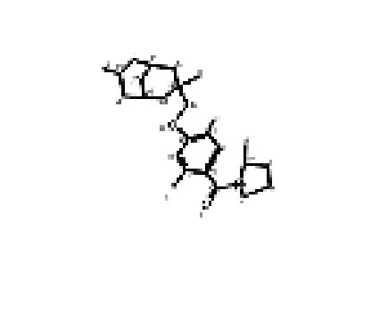 Cc1cc(C(=O)N2CCCC2C)c(F)cc1OCC1(C)CC2CC(C)CC(C2)C1